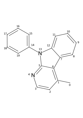 Cc1ccnc2c1c1ccccc1n2-c1ccccc1